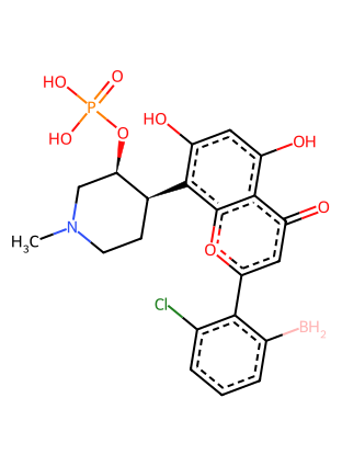 Bc1cccc(Cl)c1-c1cc(=O)c2c(O)cc(O)c([C@H]3CCN(C)C[C@H]3OP(=O)(O)O)c2o1